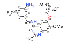 COc1cc2nc(C)nc(NCc3cc(N)cc(C(F)(F)F)c3)c2cc1OCC(OC)C(F)(F)F